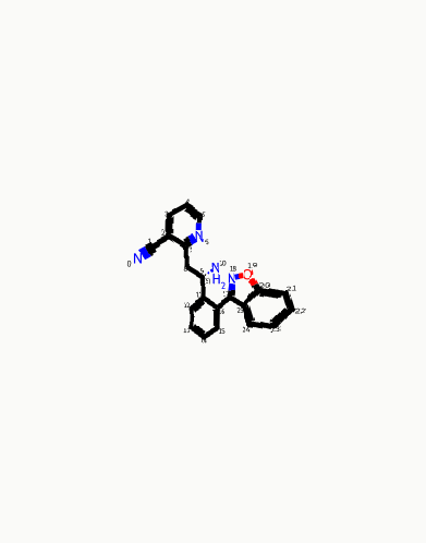 N#Cc1cccnc1C[C@H](N)c1ccccc1-c1noc2ccccc12